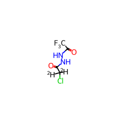 [2H]C([2H])(Cl)C(=O)NNC(=O)C(F)(F)F